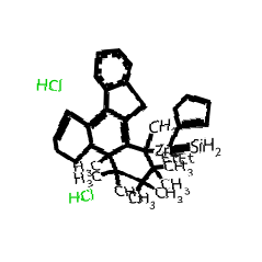 C[CH2][Zr](=[SiH2])([CH2]C)([C]1=CC=CC1)[C]1(C)C2=C3Cc4ccccc4C3=C3C=CCCC3C2(C)C(C)(C)C(C)(C)C1(C)C.Cl.Cl